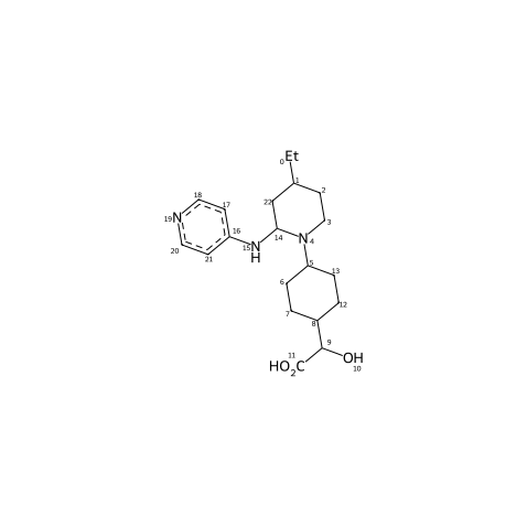 CCC1CCN(C2CCC(C(O)C(=O)O)CC2)C(Nc2ccncc2)C1